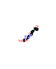 COc1cccc(-c2ccc3c(=O)n(-c4ccc(C(=O)NC5CCC(O)C5)cn4)ncc3c2)c1C